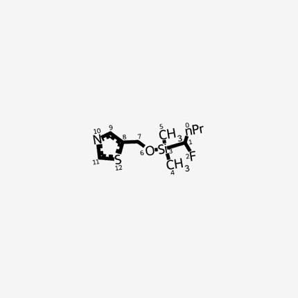 CCCC(F)[Si](C)(C)OCc1cncs1